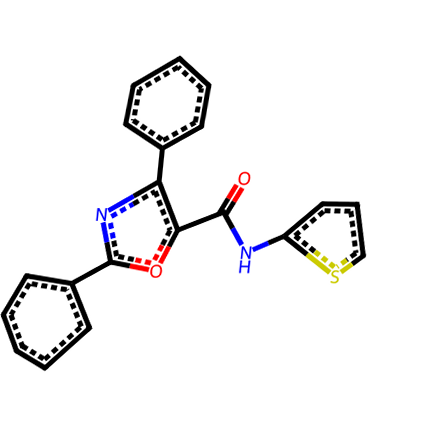 O=C(Nc1cccs1)c1oc(-c2ccccc2)nc1-c1ccccc1